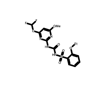 CCOc1ccccc1S(=O)(=O)NC(=O)Nc1nc(OC)cc(OC(F)F)n1